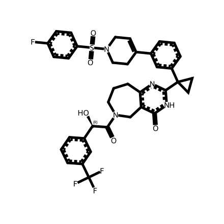 O=C([C@H](O)c1cccc(C(F)(F)F)c1)N1CCCc2nc(C3(c4cccc(C5=CCN(S(=O)(=O)c6ccc(F)cc6)CC5)c4)CC3)[nH]c(=O)c2C1